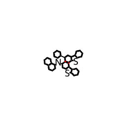 c1ccc(N(c2ccc3c(c2)sc2ccccc23)c2cccc3ccccc23)c(-c2ccc3sc4ccccc4c3c2)c1